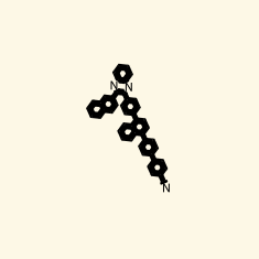 N#Cc1ccc(-c2ccc(-c3ccc(-c4ccc(-c5nc6ccccc6nc5-c5ccc6ccccc6c5)cc4)c4ccccc34)cc2)cc1